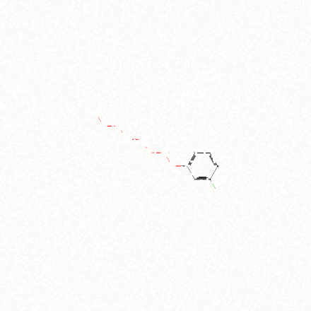 OOOOOOOOc1cccc(Cl)c1